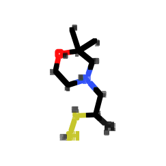 CCC(CN1CCOC(C)(C)C1)SS